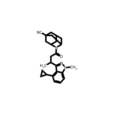 CC(CC(=O)N1C2CC3CC1CC(C#N)(C3)C2)c1nn(C)c2cccc(C3CC3)c12